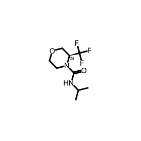 CC(C)NC(=O)N1CCOC[C@H]1C(F)(F)F